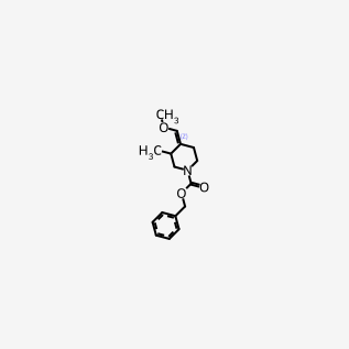 CO/C=C1/CCN(C(=O)OCc2ccccc2)CC1C